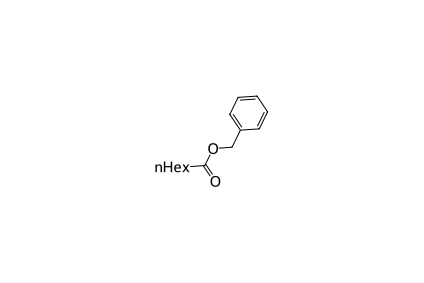 CCCCCCC(=O)OCc1ccccc1